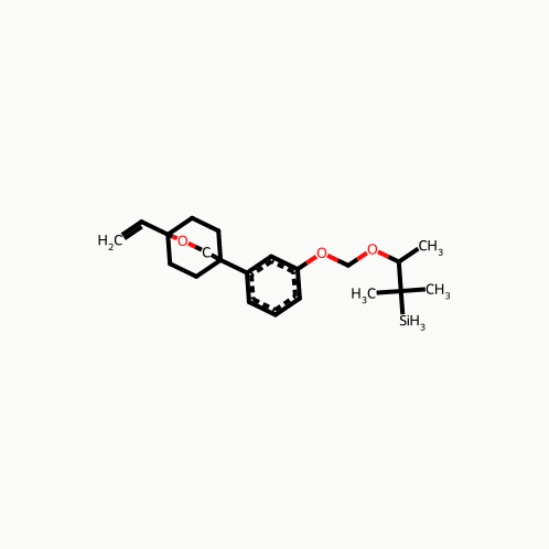 C=CC12CCC(c3cccc(OCOC(C)C(C)(C)[SiH3])c3)(CC1)CO2